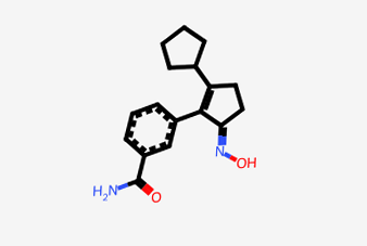 NC(=O)c1cccc(C2=C(C3CCCC3)CC/C2=N\O)c1